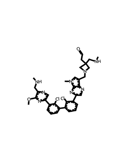 CNCc1ncc(-c2cccc(-c3cccc(-c4cnc5c(CN6CC(CC=O)(CNC)C6)cn(C)c5n4)c3Cl)c2Cl)nc1OC